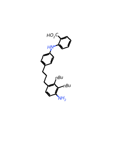 CCCCc1c(N)ccc(CCCc2ccc(Nc3ccccc3C(=O)O)cc2)c1CCCC